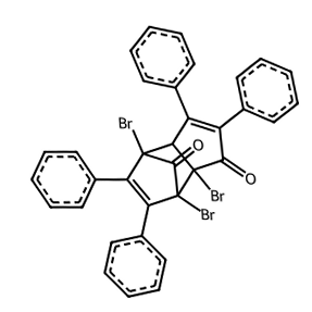 O=C1C2(Br)C(c3ccccc3)=C(c3ccccc3)C1(Br)C1(Br)C(=O)C(c3ccccc3)=C(c3ccccc3)C21